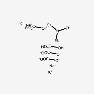 CCN(CC)CC.O=C(O)O.O=C(O)O.O=C([O-])[O-].O=C([O-])[O-].[K+].[K+].[Na+].[Na+]